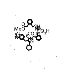 CCOC(=O)Oc1c(Cc2ccc3nsnc3c2)c(C2CCCCC2)nn1Cc1ccccc1CC(=O)O.COC(=O)Cc1ccccc1CNN